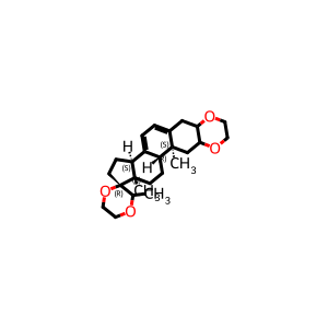 CC1OCCO[C@@]12CC[C@H]1C3=CC=C4CC5OCCOC5C[C@@]4(C)[C@@H]3CC[C@@]12C